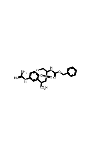 CC(C)CC(NC(=O)OCc1ccccc1)P(=O)(O)CC(C(=O)O)c1cccc(NC(=N)N)c1